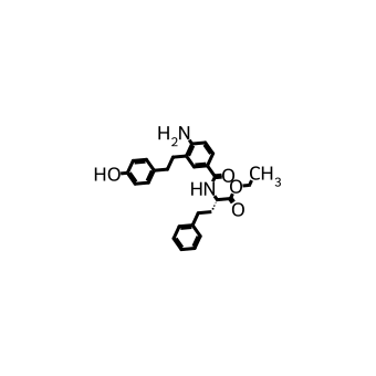 CCOC(=O)[C@H](CCc1ccccc1)NC(=O)c1ccc(N)c(CCc2ccc(O)cc2)c1